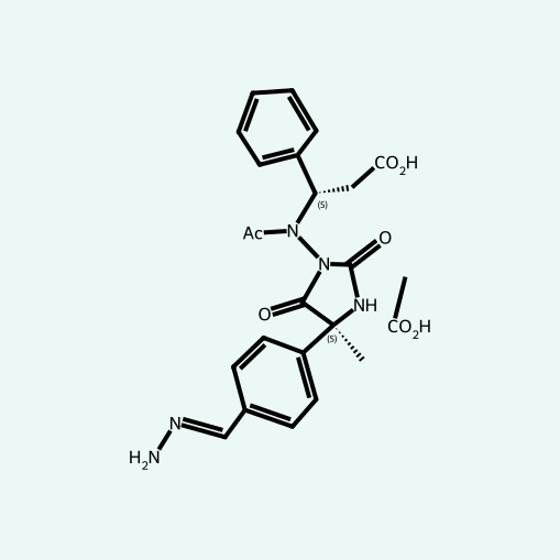 CC(=O)N([C@@H](CC(=O)O)c1ccccc1)N1C(=O)N[C@@](C)(c2ccc(C=NN)cc2)C1=O.CC(=O)O